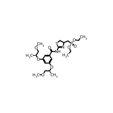 CCOP(=O)(CC1CSC(NC(=O)c2cc(O[C@@H](C)COC)cc(O[C@@H](C)COC)c2)=N1)OCC